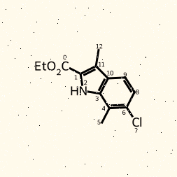 CCOC(=O)c1[nH]c2c(C)c(Cl)ccc2c1C